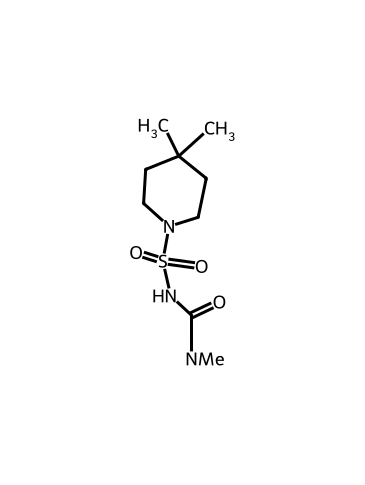 CNC(=O)NS(=O)(=O)N1CCC(C)(C)CC1